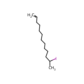 C=CCCCCCCCCCC(C)I